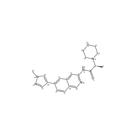 C[C@@H](C(=O)Nc1cc2cc(-c3cnn(C)c3)ccc2cn1)N1CCOCC1